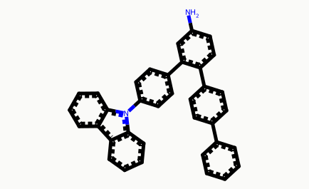 Nc1ccc(-c2ccc(-c3ccccc3)cc2)c(-c2ccc(-n3c4ccccc4c4ccccc43)cc2)c1